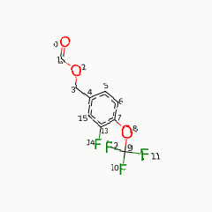 O=[C]OCc1ccc(OC(F)(F)F)c(F)c1